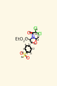 CCOC(=O)[C@@H]1[C@@H](c2ccc(S(C)(=O)=O)cc2)OC(C)N1C(=O)C(Cl)Cl